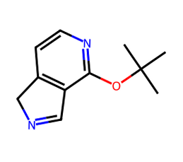 CC(C)(C)Oc1nccc2c1C=NC2